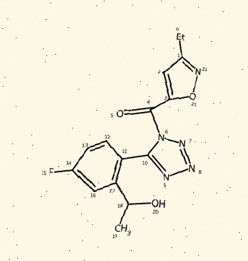 CCc1cc(C(=O)n2nnnc2-c2ccc(F)cc2C(C)O)on1